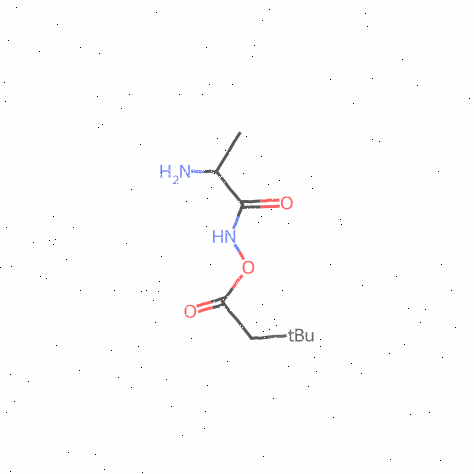 CC(N)C(=O)NOC(=O)CC(C)(C)C